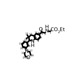 CCOC(=O)CNCC(=O)c1ccc2c(c1)CC(C)(C)C(c1cccc(N3CCOCC3)c1)N2